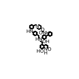 O=C(Nc1ccccc1-c1ccccc1)OC1CCN(Cc2cccc(Nc3ccc(CCNC[C@H](O)c4ccc(O)c5[nH]c(=O)ccc45)cc3)c2)CC1